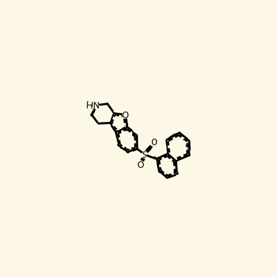 O=S(=O)(c1ccc2c3c(oc2c1)CNCC3)c1cccc2ccccc12